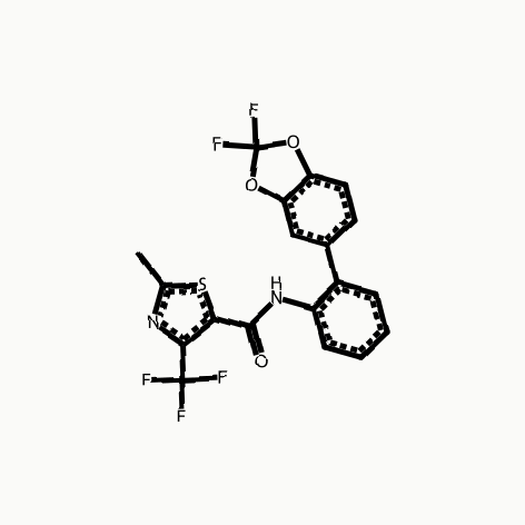 Cc1nc(C(F)(F)F)c(C(=O)Nc2ccccc2-c2ccc3c(c2)OC(F)(F)O3)s1